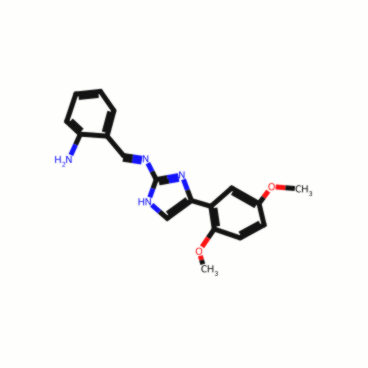 COc1ccc(OC)c(-c2c[nH]c(/N=C/c3ccccc3N)n2)c1